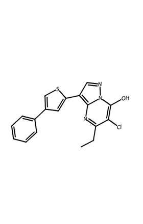 CCc1nc2c(-c3cc(-c4ccccc4)cs3)cnn2c(O)c1Cl